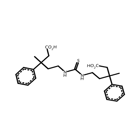 CC(CCNC(=S)NCCC(C)(CC(=O)O)c1ccccc1)(CC(=O)O)c1ccccc1